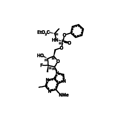 CCOC(=O)[C@H](C)N[P@](=O)(OC[C@H]1O[C@@H](n2cnc3c(NC)nc(C)nc32)[C@](C)(F)[C@@H]1O)Oc1ccccc1